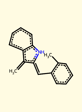 C=c1/c(=C/c2ccccc2C)[nH]c2ccccc12